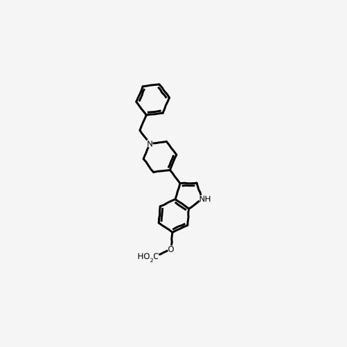 O=C(O)Oc1ccc2c(C3=CCN(Cc4ccccc4)CC3)c[nH]c2c1